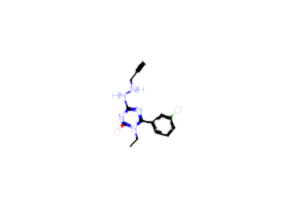 C#CCNNc1nc(-c2cccc(Cl)c2)n(CC)c(=O)n1